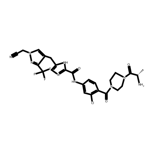 C[C@H](N)C(=O)N1CCN(C(=O)c2ccc(NC(=O)c3ncc(Cc4cn(CC#N)nc4C(F)(F)F)[nH]3)cc2Cl)CC1